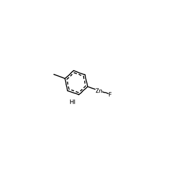 Cc1cc[c]([Zn][F])cc1.I